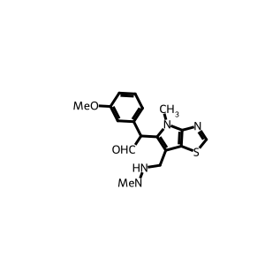 CNNCc1c(C(C=O)c2cccc(OC)c2)n(C)c2ncsc12